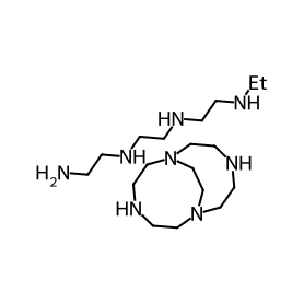 C1CN2CCNCCN(CCN1)CC2.CCNCCNCCNCCN